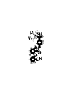 Cc1c(-c2ccc(CN3Cc4cccc(Oc5c(F)cccc5C#N)c4C3=O)cc2)cnn1C